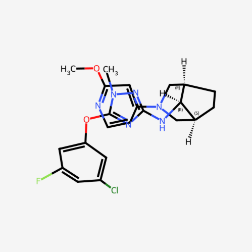 COc1cc(N2C[C@H]3CC[C@@H](C2)[C@H]3Nc2nc(Oc3cc(F)cc(Cl)c3)n(C)n2)ccn1